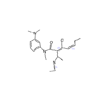 C/C=N/C(C)/C(C(=O)N(C)c1cccc(N(C)C)c1)=C(Cl)\C=C/CC